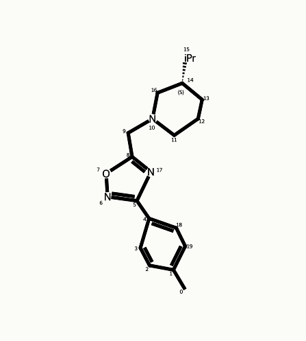 Cc1ccc(-c2noc(CN3CCC[C@@H](C(C)C)C3)n2)cc1